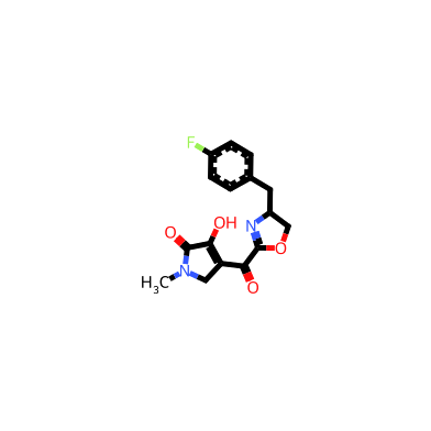 CN1CC(C(=O)C2=NC(Cc3ccc(F)cc3)CO2)=C(O)C1=O